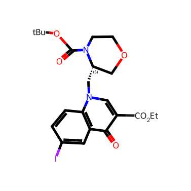 CCOC(=O)c1cn(C[C@H]2COCCN2C(=O)OC(C)(C)C)c2ccc(I)cc2c1=O